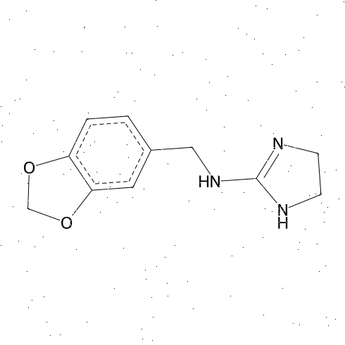 c1cc2c(cc1CNC1=NCCN1)OCO2